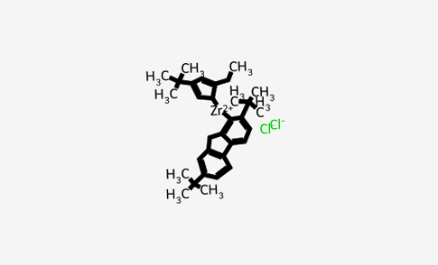 CCC1=CC(C(C)(C)C)=C[CH]1[Zr+2][c]1c(C(C)(C)C)ccc2c1Cc1cc(C(C)(C)C)ccc1-2.[Cl-].[Cl-]